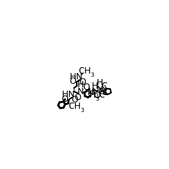 CCNC(=O)C(=O)CC[C@H](NC(=O)c1oc2ccccc2c1C)C(=O)Nc1cccn(CC(=O)NC2CC3CC[C@]2(C)C3(C)C)c1=O